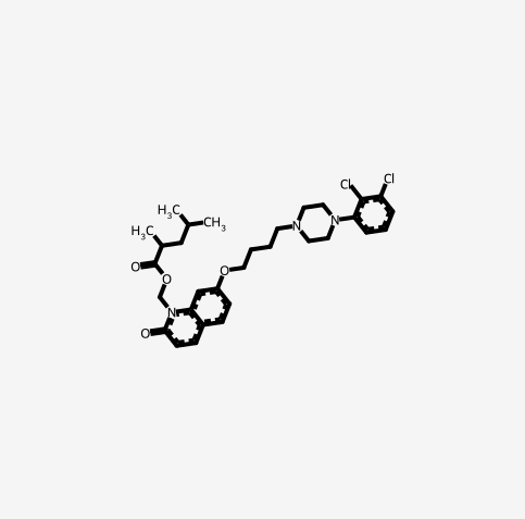 CC(C)CC(C)C(=O)OCn1c(=O)ccc2ccc(OCCCCN3CCN(c4cccc(Cl)c4Cl)CC3)cc21